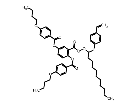 C=Cc1ccc(OC(CCCCCCCCCC)OOC(=O)c2cc(OC(=O)c3ccc(OCCCC)cc3)ccc2OC(=O)c2ccc(OCCCC)cc2)cc1